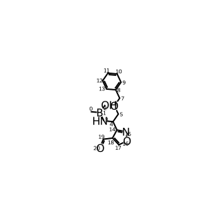 CB(O)NC(COCc1ccccc1)c1nocc1C=O